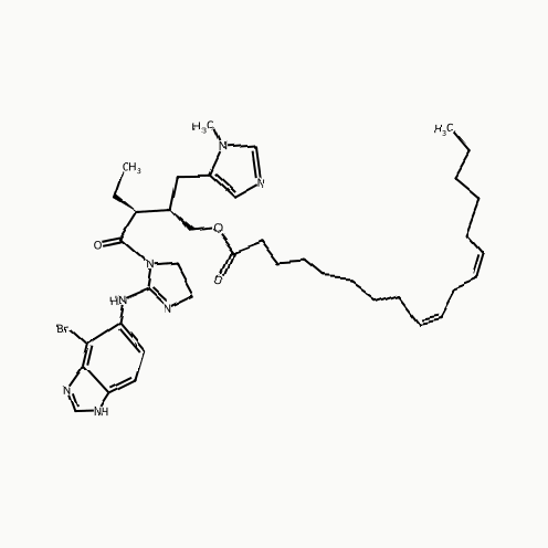 CCCCC/C=C\C/C=C\CCCCCCCC(=O)OC[C@H](Cc1cncn1C)[C@H](CC)C(=O)N1CCN=C1Nc1ccc2[nH]cnc2c1Br